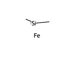 C[Si]C.[Fe]